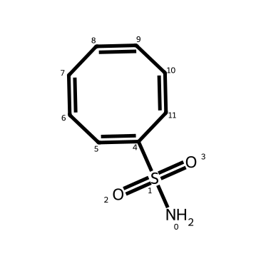 NS(=O)(=O)C1=C/C=C\C=C/C=C\1